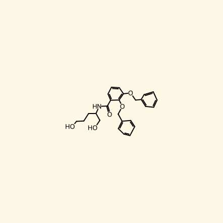 O=C(NC(CO)CCCO)c1cccc(OCc2ccccc2)c1OCc1ccccc1